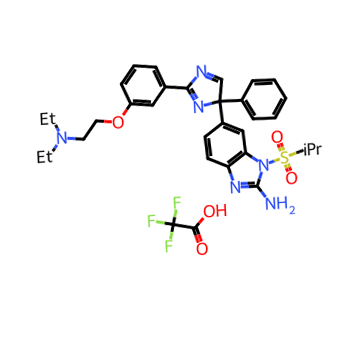 CCN(CC)CCOc1cccc(C2=NC(c3ccccc3)(c3ccc4nc(N)n(S(=O)(=O)C(C)C)c4c3)C=N2)c1.O=C(O)C(F)(F)F